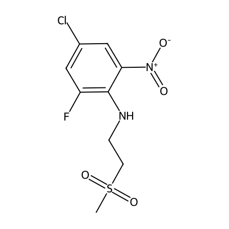 CS(=O)(=O)CCNc1c(F)cc(Cl)cc1[N+](=O)[O-]